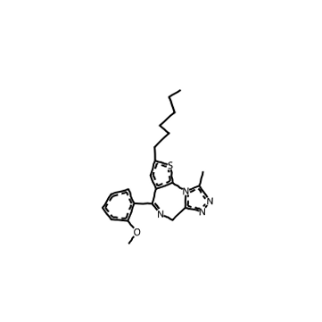 CCCCCCc1cc2c(s1)-n1c(C)nnc1CN=C2c1ccccc1OC